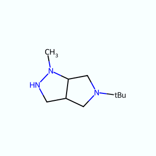 CN1NCC2CN(C(C)(C)C)CC21